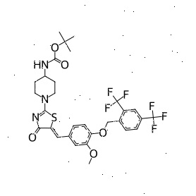 COc1cc(/C=C2\SC(N3CCC(NC(=O)OC(C)(C)C)CC3)=NC2=O)ccc1OCc1ccc(C(F)(F)F)cc1C(F)(F)F